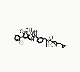 Cn1c(=O)c(-c2ccccc2Cl)cc2cnc(Nc3cccc(CNC(=O)/C(C#N)=C/CCC4CC4)c3)nc21